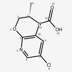 C[C@H]1COc2ncc(Cl)cc2N1C(=O)O